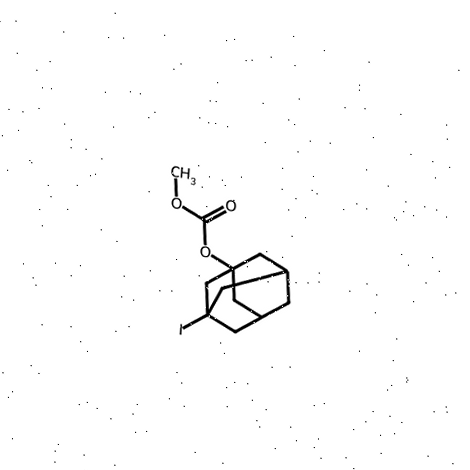 COC(=O)OC12CC3CC(CC(I)(C3)C1)C2